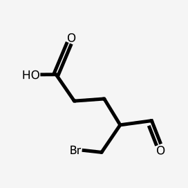 O=CC(CBr)CCC(=O)O